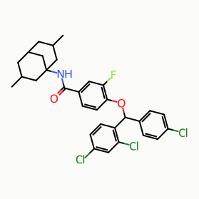 CC1CC2CC(C)CC(NC(=O)c3ccc(OC(c4ccc(Cl)cc4)c4ccc(Cl)cc4Cl)c(F)c3)(C1)C2